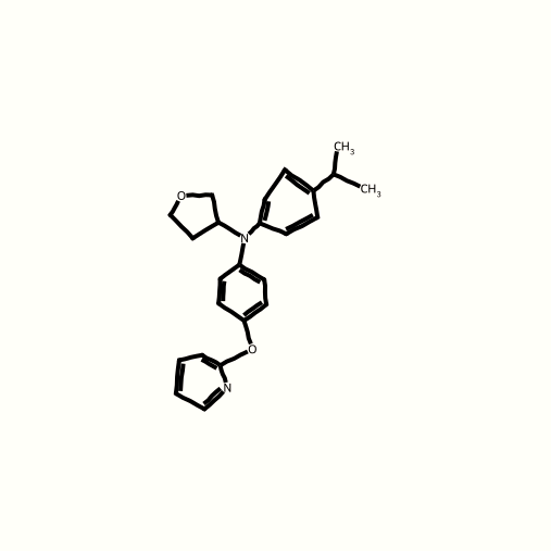 CC(C)c1ccc(N(c2ccc(Oc3ccccn3)cc2)C2CCOC2)cc1